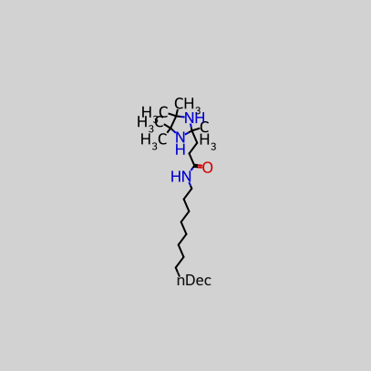 CCCCCCCCCCCCCCCCCCNC(=O)CCC1(C)NC(C)(C)C(C)(C)N1